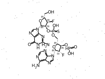 Nc1nc2c(ncn2[C@@H]2O[C@H](CO)[C@@H](F)[C@H]2OP(O)(=S)OC[C@H]2O[C@@H](n3cnc4c(N)ncnc43)[C@@H](F)[C@@H]2O[PH](=O)O)c(=O)[nH]1